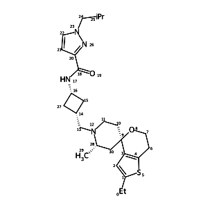 CCc1cc2c(s1)CCO[C@@]21CCN(C[C@H]2C[C@@H](NC(=O)c3ccn(CC(C)C)n3)C2)[C@@H](C)C1